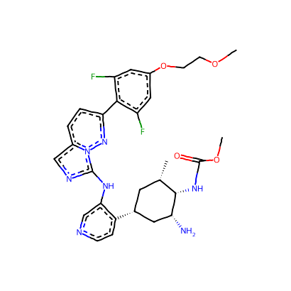 COCCOc1cc(F)c(-c2ccc3cnc(Nc4cnccc4[C@H]4C[C@@H](N)[C@@H](NC(=O)OC)[C@@H](C)C4)n3n2)c(F)c1